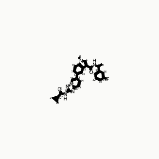 CC(NC(=O)c1cn(C)c2ccc(-c3ccc4nc(NC(=O)C5CC5)nn4c3)cc12)c1cccc(F)c1